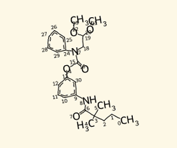 CCCC(C)(C)C(=O)Nc1cccc(OC(=O)N(CC(OC)OC)c2ccccc2)c1